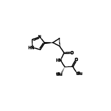 CC(C)(C)C(=O)[C@@H](NC(=O)C1C[C@@H]1c1c[nH]cn1)C(C)(C)C